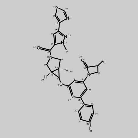 CC1CN(c2cc(OC3[C@H]4CN(C(=O)c5cc(-c6cscn6)nn5C)C[C@@H]34)nc(-c3ccc(F)cc3)c2)C1=O